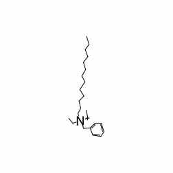 CCCCCCCCCCCCC[N+](CC)(CC)Cc1ccccc1